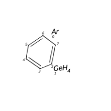 [Ar].[GeH4].c1ccccc1